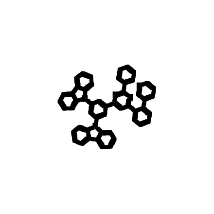 c1ccc(-c2nc(-c3cc(-n4c5ccccc5c5ccccc54)cc(-n4c5ccccc5c5ccccc54)c3)cc(-c3ccccc3-c3cccnc3)n2)cc1